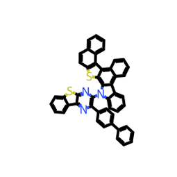 c1ccc(-c2ccc(-c3nc4c(nc3-n3c5ccccc5c5c6ccccc6c6c(sc7ccc8ccccc8c76)c53)sc3ccccc34)cc2)cc1